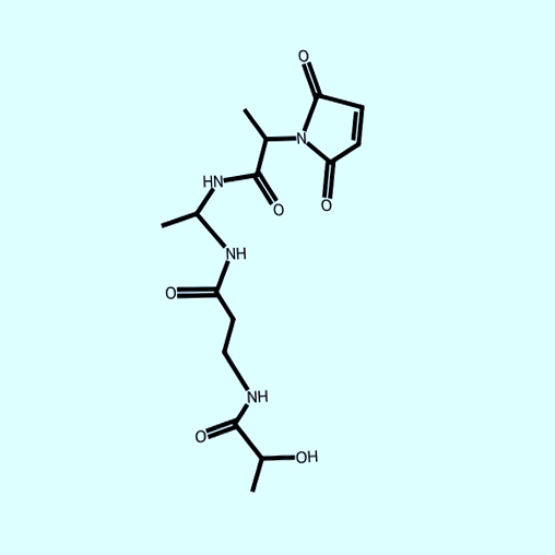 CC(NC(=O)CCNC(=O)C(C)O)NC(=O)C(C)N1C(=O)C=CC1=O